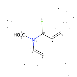 C=CC(F)N(C=C)C(=O)O